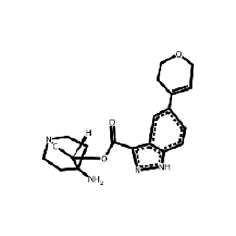 NC12CCN(CC1)C[C@@H]2OC(=O)c1n[nH]c2ccc(C3=CCOCC3)cc12